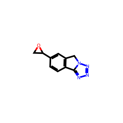 c1cc2c(cc1C1CO1)Cn1nnnc1-2